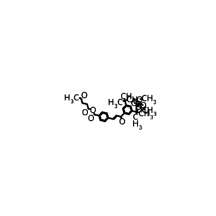 COP(=O)(OC)Oc1c(C(C)(C)C)cc(C(=O)C=Cc2ccc(C(=O)OC(=O)CCC(C)=O)cc2)cc1C(C)(C)C